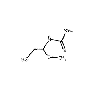 CCC(NC(N)=S)OC